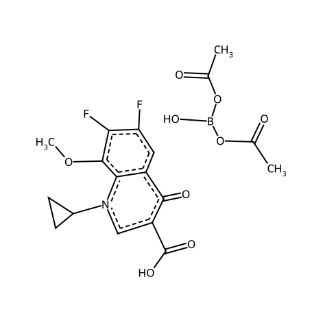 CC(=O)OB(O)OC(C)=O.COc1c(F)c(F)cc2c(=O)c(C(=O)O)cn(C3CC3)c12